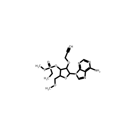 C#CCOC1C(OP(=O)(CC)SC)C(COC)OC1n1cnc2c(N)ncnc21